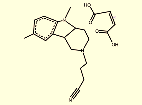 Cc1ccc2c(c1)C1CN(CCCC#N)CCC1N2C.O=C(O)/C=C\C(=O)O